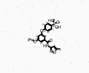 Cc1cc(NC(=O)c2cc(Oc3ccc(P(=O)(O)O)cc3)cc(OC(C)C)c2)no1